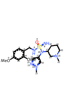 COc1ccc(CNS(=N)(=O)N(c2cnn(C)c2)C2CCCN(C)C2)c(OC)c1